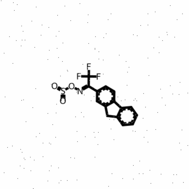 O=[SH](=O)ON=C(c1ccc2c(c1)Cc1ccccc1-2)C(F)(F)F